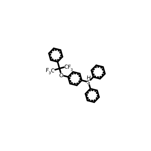 FC(F)(F)C(Oc1ccc([SH](c2ccccc2)c2ccccc2)cc1)(c1ccccc1)C(F)(F)F